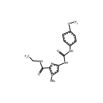 CCCCn1cc(NC(=O)Nc2ccc(OC(F)(F)F)cc2)nc1C(=O)NCC(F)(F)F